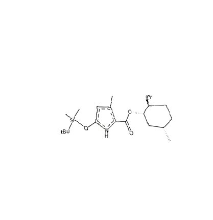 Cc1cc(O[Si](C)(C)C(C)(C)C)[nH]c1C(=O)O[C@H]1C[C@@H](C)CC[C@@H]1C(C)C